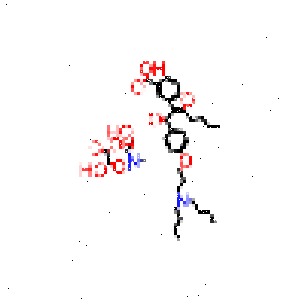 CCCCc1oc2ccc(C(=O)O)cc2c1C(=O)c1ccc(OCCCN(CCCC)CCCC)cc1.CN(C)CCO.O=C(O)C(=O)O